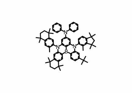 Cc1cc2c(cc1N1c3cc4c(cc3B3c5ccc(C(C)(C)C)cc5N(c5ccc6c(c5C)C(C)(C)CC6(C)C)c5cc(N(c6ccccc6)c6ccccc6)cc1c53)C(C)(C)CCC4(C)C)C(C)(C)CCC2(C)C